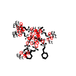 CCO[Si](CC[Si](C)(C)O[Si]12O[Si]3(OC)O[Si]4(O[SiH2]C)O[Si]5(O[Si](C)(C)CCC6CC=CCC6)O[Si](O[Si](C)(C)CCC6CC=CCC6)(O3)O[Si](O[Si](C)(C)CC[Si](OCC)(OCC)OCC)(O1)O[Si](O[Si](C)(C)CC[Si](OCC)(OCC)OCC)(O5)O[Si](O[Si](C)(C)CC[Si](OCC)(OCC)OCC)(O4)O2)(OCC)OCC